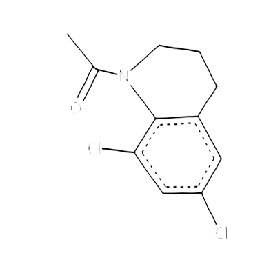 CC(=O)N1CCCc2cc(Cl)cc(Cl)c21